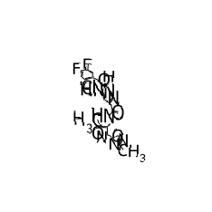 Cc1noc(-c2noc(C)c2CNC(=O)c2cc(NC(=O)c3cc(F)c(F)cc3Cl)[nH]n2)n1